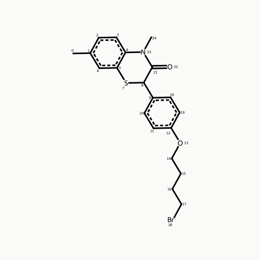 Cc1ccc2c(c1)SC(c1ccc(OCCCCBr)cc1)C(=O)N2C